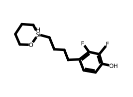 Oc1ccc(CCCC[SiH]2CCCCO2)c(F)c1F